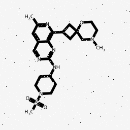 Cc1cc2cnc(NC3CCN(S(C)(=O)=O)CC3)nc2c(C2CC3(C2)CN(C)CCO3)n1